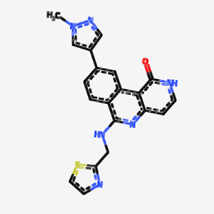 Cn1cc(-c2ccc3c(NCc4nccs4)nc4cc[nH]c(=O)c4c3c2)cn1